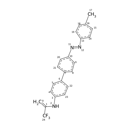 C=C(Nc1ccc(-c2ccc(N=Nc3ccc(C)cc3)cc2)cc1)C(F)(F)F